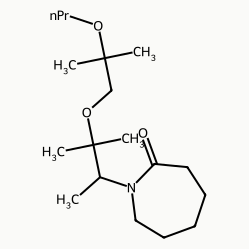 CCCOC(C)(C)COC(C)(C)C(C)N1CCCCCC1=O